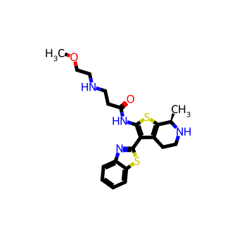 COCCNCCC(=O)Nc1sc2c(c1-c1nc3ccccc3s1)CCN[C@@H]2C